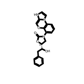 O=C1O[C@@H](C(O)Cc2ccccc2)CN1c1cccc2c1OC=C1NC=CN12